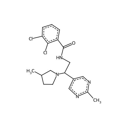 Cc1ncc(C(CNC(=O)c2cccc(Cl)c2Cl)N2CCC(C)C2)cn1